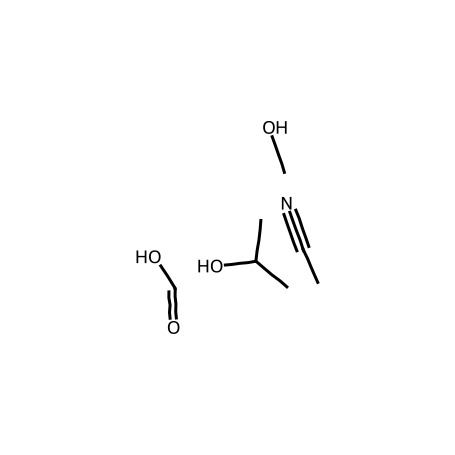 CC#N.CC(C)O.CO.O=CO